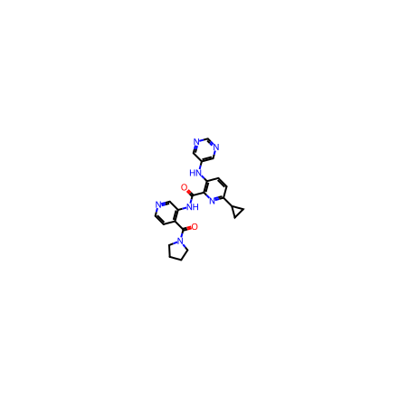 O=C(Nc1cnccc1C(=O)N1CCCC1)c1nc(C2CC2)ccc1Nc1cncnc1